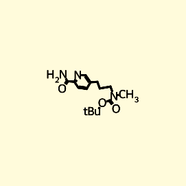 CN(CCCc1ccc(C(N)=O)nc1)C(=O)OC(C)(C)C